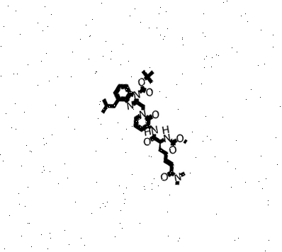 COC(=O)N[C@@H](CC/C=C/C(=O)N(C)C)C(=O)Nc1cccn(Cc2nc3c(CC(C)C)cccc3n2C(=O)OC(C)(C)C)c1=O